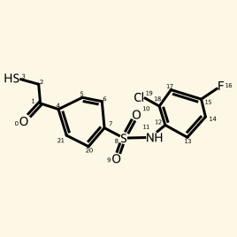 O=C(CS)c1ccc(S(=O)(=O)Nc2ccc(F)cc2Cl)cc1